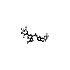 O=c1[nH]cc(-c2cc(C3C[C@H]3c3ccc4cnn(CC(F)(F)F)c4n3)c3ncc(F)n3n2)c(=O)[nH]1